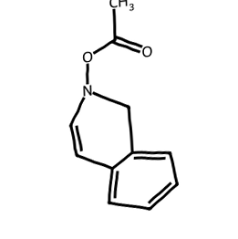 CC(=O)ON1C=Cc2ccccc2C1